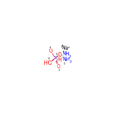 N.N.O=P([O-])(O)O.[Na+]